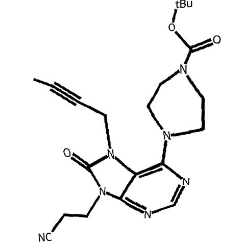 CC#CCn1c(=O)n(CCC#N)c2ncnc(N3CCN(C(=O)OC(C)(C)C)CC3)c21